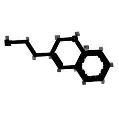 BrCCC1=Cc2ccccc2OC1